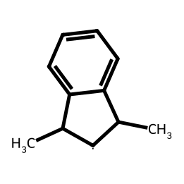 CC1[CH]C(C)c2ccccc21